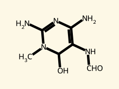 CN1C(N)=NC(N)=C(NC=O)C1O